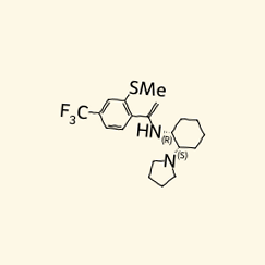 C=C(N[C@@H]1CCCC[C@@H]1N1CCCC1)c1ccc(C(F)(F)F)cc1SC